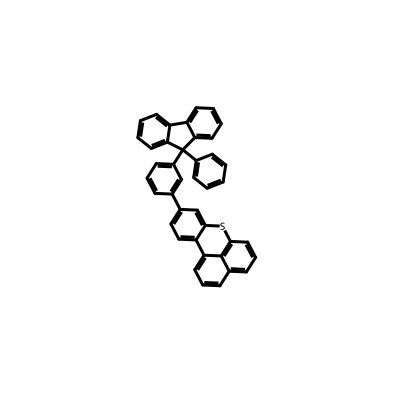 c1ccc(C2(c3cccc(-c4ccc5c(c4)Sc4cccc6cccc-5c46)c3)c3ccccc3-c3ccccc32)cc1